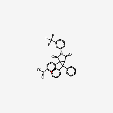 O=C1C2C(c3ccc([N+](=O)[O-])cc3)(C(=O)N1c1cccc(C(F)(F)F)c1)C2(c1ccccc1)c1ccccc1